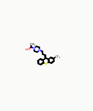 CC(O)N1CCN(CC/C=C2\c3ccccc3Sc3ccc(C(F)(F)F)cc32)CC1